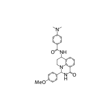 COc1ccc(C2NC(=O)c3cccc4c3N2CCC4NC(=O)c2ccc(N(C)C)cc2)cc1